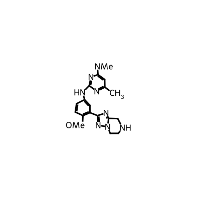 CNc1cc(C)nc(Nc2ccc(OC)c(-c3nc4n(n3)CCNC4)c2)n1